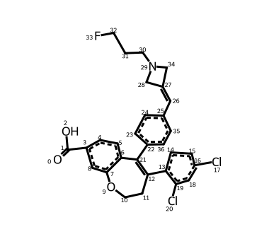 O=C(O)c1ccc2c(c1)OCCC(c1ccc(Cl)cc1Cl)=C2c1ccc(C=C2CN(CCCF)C2)cc1